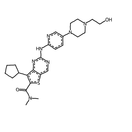 CN(C)C(=O)c1sc2cnc(Nc3ccc(N4CCN(CCO)CC4)cn3)nc2c1C1CCCC1